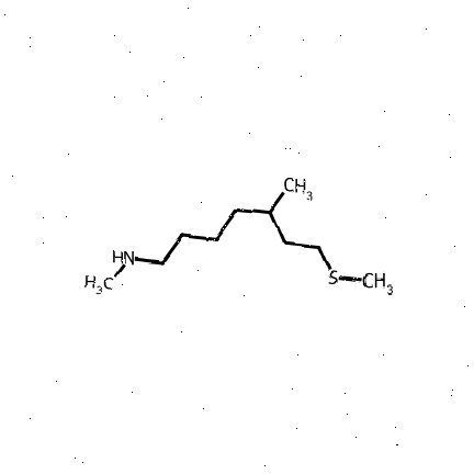 CNCCCCC(C)CCSC